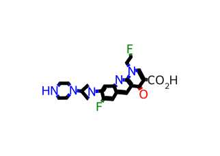 O=C(O)c1cn(CCF)c2nc3cc(N4CC(N5CCNCC5)C4)c(F)cc3cc2c1=O